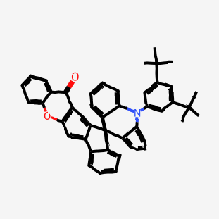 CC(C)(C)c1cc(N2c3ccccc3C3(c4ccccc4-c4cc5oc6ccccc6c(=O)c5cc43)c3ccccc32)cc(C(C)(C)C)c1